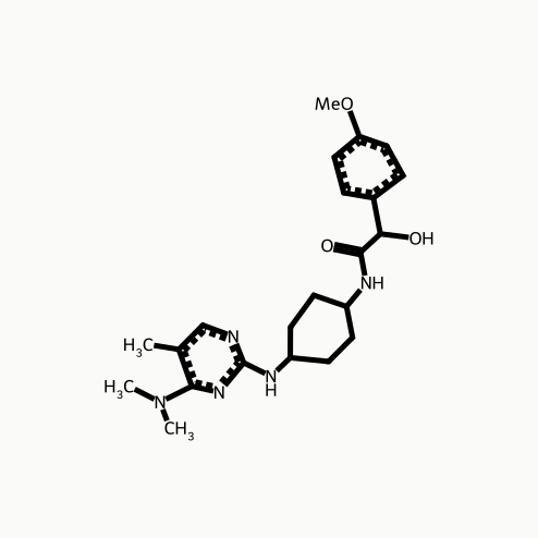 COc1ccc(C(O)C(=O)NC2CCC(Nc3ncc(C)c(N(C)C)n3)CC2)cc1